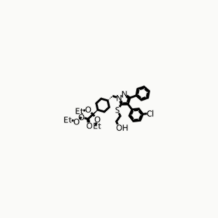 CCOOC(=O)C(OCC)(OCC)[C@H]1CC[C@H](Cn2nc(-c3ccccc3)c(-c3cccc(Cl)c3)c2SCCO)CC1